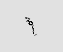 CC(C)(C)NC(=O)c1ccc(OCCOCCO)cc1